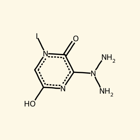 NN(N)c1nc(O)cn(I)c1=O